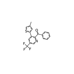 Cc1csc(-c2cc(C(F)(F)F)cnc2C(=O)c2ccccc2)c1